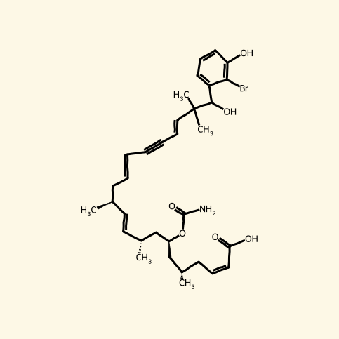 C[C@@H](C/C=C\C(=O)O)C[C@@H](C[C@H](C)/C=C/[C@@H](C)C/C=C/C#C/C=C/C(C)(C)C(O)c1cccc(O)c1Br)OC(N)=O